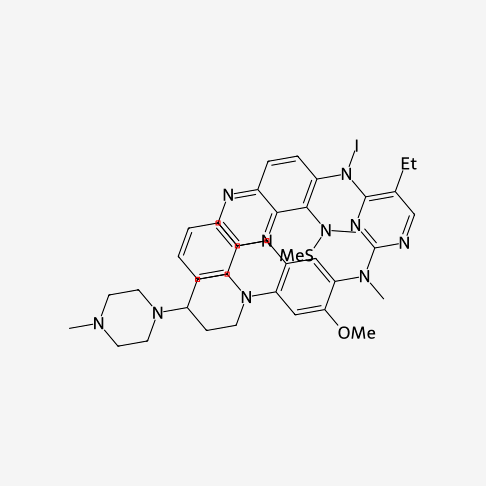 CCc1cnc(N(C)c2cc(Cc3ccccc3)c(N3CCC(N4CCN(C)CC4)CC3)cc2OC)nc1N(I)c1ccc2nccnc2c1N(C)SC